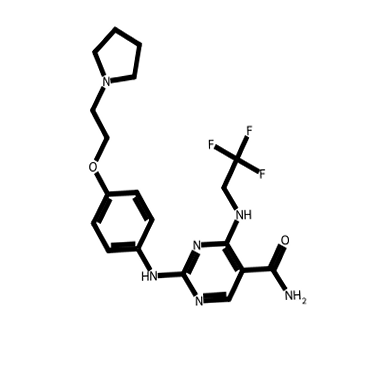 NC(=O)c1cnc(Nc2ccc(OCCN3CCCC3)cc2)nc1NCC(F)(F)F